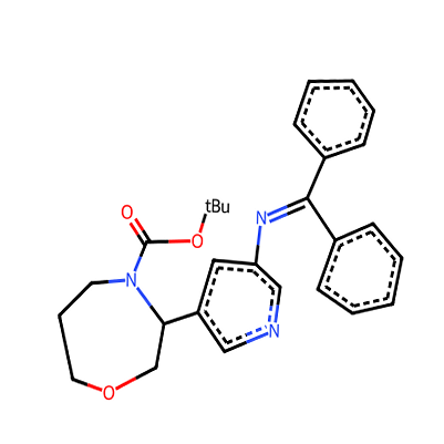 CC(C)(C)OC(=O)N1CCCOCC1c1cncc(N=C(c2ccccc2)c2ccccc2)c1